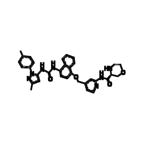 Cc1ccc(-n2nc(C)cc2NC(=O)Nc2ccc(OCc3ccnc(NC(=O)[C@@H]4COCCN4)c3)c3ccccc23)cc1